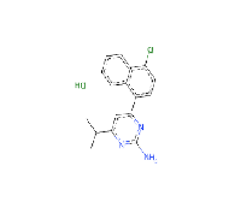 CC(C)c1cc(-c2ccc(Cl)c3ccccc23)nc(N)n1.Cl